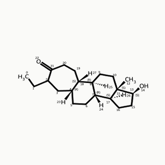 CCC1C[C@H]2CC[C@@H]3[C@H](CC[C@]4(C)[C@@H](O)CC[C@@H]34)[C@H]2CCC1=O